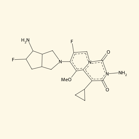 COc1c(N2CC3CC(F)C(N)C3C2)c(F)cn2c(=O)n(N)c(=O)c(C3CC3)c12